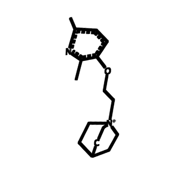 Cc1ccc(OCC[N+]23CCC(CC2)CC3)c(C)n1